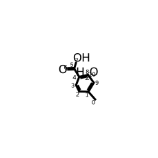 Cc1ccc(C(=O)O)cc1.O